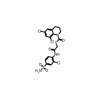 NS(=O)(=O)c1ccc(NC(=O)CSC(=O)N2CCCc3cc(Cl)cc(Cl)c32)c(Cl)c1